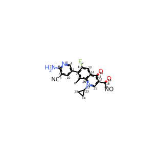 Cc1c(-c2cnc(N)c(C#N)c2)c(F)cc2c(=O)c(C(=O)N=O)cn(C3CC3)c12